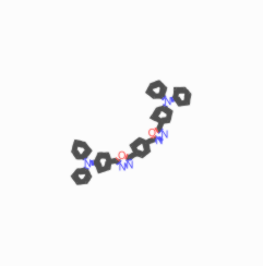 c1ccc(N(c2ccccc2)c2ccc(-c3nnc(-c4ccc(-c5nnc(-c6ccc(N(c7ccccc7)c7ccccc7)cc6)o5)cc4)o3)cc2)cc1